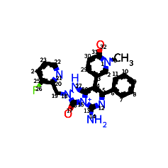 Cn1cc(-c2c(-c3ccccc3)nc(N)[n+]3c(=O)n(Cc4ncccc4F)[nH]c23)ccc1=O